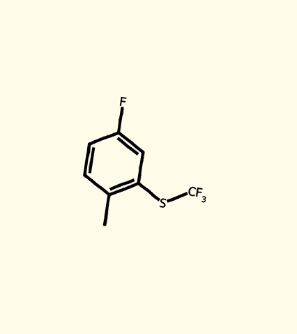 Cc1ccc(F)cc1SC(F)(F)F